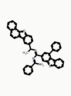 CC(/N=C(\N=C(/N)c1ccccc1)c1cc(-c2ccccc2)c2c(c1)sc1ccccc12)c1ccc2oc3c4ccccc4ccc3c2c1